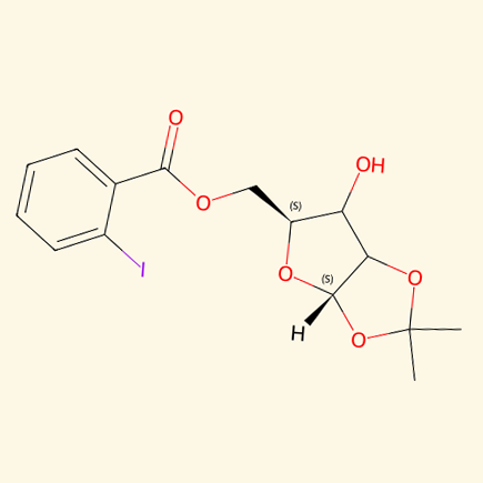 CC1(C)OC2C(O)[C@H](COC(=O)c3ccccc3I)O[C@H]2O1